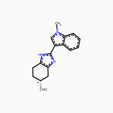 Cn1cc(-c2nc3c([nH]2)CC[C@@H](C=O)C3)c2ccccc21